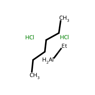 CCCCCC.C[CH2][AlH2].Cl.Cl